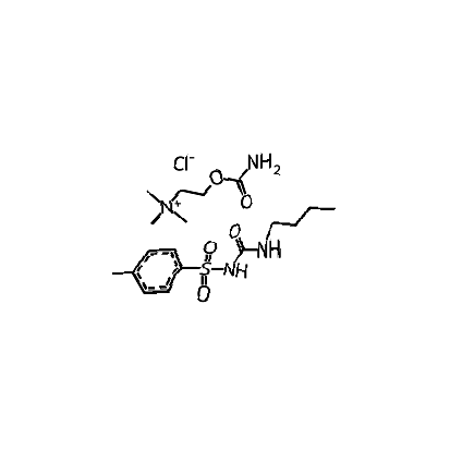 CCCCNC(=O)NS(=O)(=O)c1ccc(C)cc1.C[N+](C)(C)CCOC(N)=O.[Cl-]